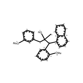 [CH2]C(O)(Cc1cccc(OC)c1)C(c1ccccc1OC)c1cccc2ccccc12